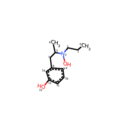 CCCN(O)C(C)Cc1cccc(O)c1